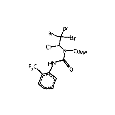 CON(C(=O)Nc1ccccc1C(F)(F)F)C(Cl)C(Br)(Br)Br